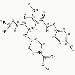 COC(=O)N1CCC(Oc2cc(C(=O)NCc3ccc(Cl)cc3)c(OC)nc2N2CC(F)(F)C2)CC1